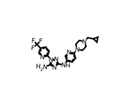 Nc1nc(Nc2ccc(N3CCN(CC4CC4)CC3)nc2)nn1-c1ccc(C(F)(F)F)cn1